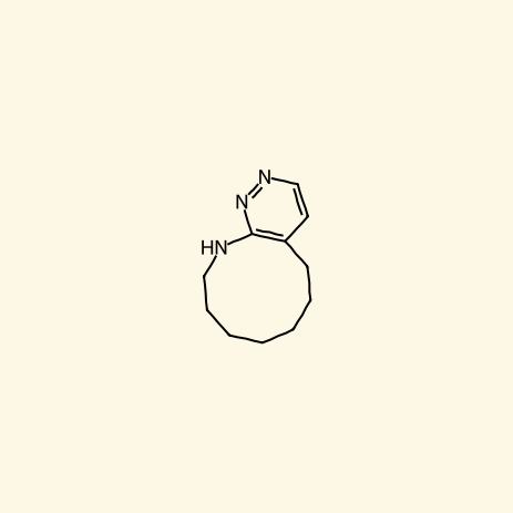 c1cc2c(nn1)NCCCCCCC2